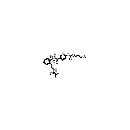 COCCCOC(=O)Oc1ccc(C(=O)NS(=O)(=O)c2ccccc2CCNC(=O)C(C)C)cn1